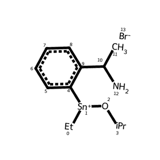 C[CH2][Sn+]([O]C(C)C)[c]1ccccc1C(C)N.[Br-]